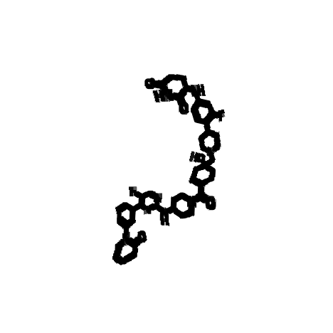 O=C1CCC(Nc2ccc(C3CCN(CC4(O)CCC(C(=O)N5CCC(Nc6ncc(F)c(-c7cccc(-n8ccccc8=O)c7)n6)CC5)CC4)CC3)c(F)c2)C(=O)N1